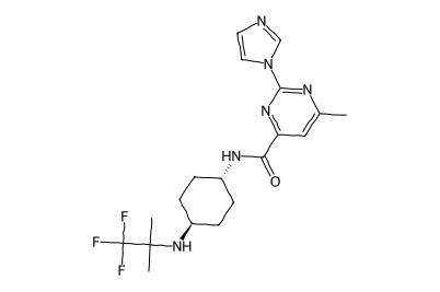 Cc1cc(C(=O)N[C@H]2CC[C@H](NC(C)(C)C(F)(F)F)CC2)nc(-n2ccnc2)n1